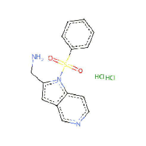 Cl.Cl.NCc1cc2cnccc2n1S(=O)(=O)c1ccccc1